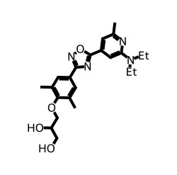 CCN(CC)c1cc(-c2nc(-c3cc(C)c(OCC(O)CO)c(C)c3)no2)cc(C)n1